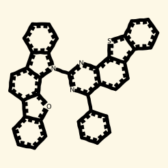 c1ccc(-c2nc(-n3c4ccccc4c4ccc5c6ccccc6oc5c43)nc3c2ccc2c4ccccc4sc23)cc1